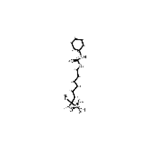 O=C(NC1CCCCC1)OCCCCCCC(F)(F)S(=O)(=O)O